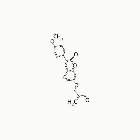 C=C(C=O)COc1ccc2cc(-c3ccc(OC)cc3)c(=O)oc2c1